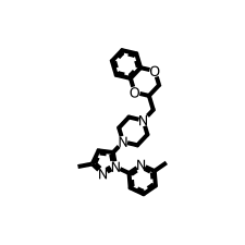 Cc1cccc(-n2nc(C)cc2N2CCN(CC3COc4ccccc4O3)CC2)n1